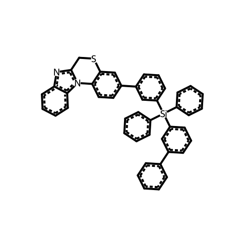 c1ccc(-c2cccc([Si](c3ccccc3)(c3ccccc3)c3cccc(-c4ccc5c(c4)SCc4nc6ccccc6n4-5)c3)c2)cc1